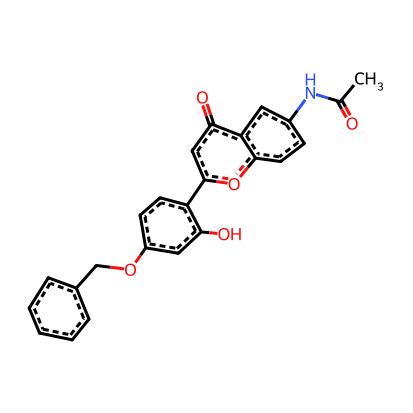 CC(=O)Nc1ccc2oc(-c3ccc(OCc4ccccc4)cc3O)cc(=O)c2c1